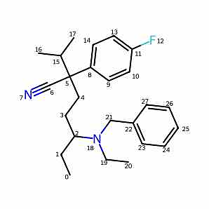 CCC(CCC(C#N)(c1ccc(F)cc1)C(C)C)N(CC)Cc1ccccc1